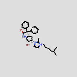 Cc1n([C@@H]2CC[C@H](C(C(N)=O)(c3ccccc3)c3ccccc3)C2)cc[n+]1CCCCC(C)C.[Br-]